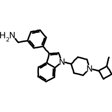 CC1CCC1N1CCC(n2cc(-c3cccc(CN)c3)c3ccccc32)CC1